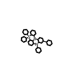 c1ccc(-c2ccc3c(c2)N(c2ccccc2)c2cccc4c2B3c2ccccc2S4(c2ccccc2)c2ccccc2)cc1